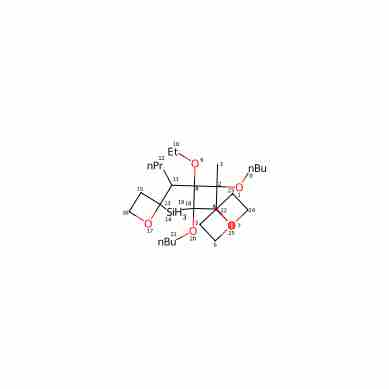 CCCCOC(C)(C1CCO1)C(OCC)(C(CCC)C1([SiH3])CCO1)C(C)(OCCCC)C1CCO1